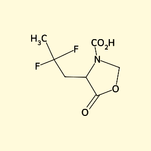 CC(F)(F)CC1C(=O)OCN1C(=O)O